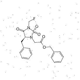 O=C(CN1[C@@H](Cc2ccccc2)C(=O)N(CF)S1(=O)=O)OCc1ccccc1